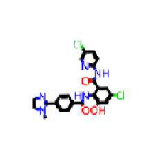 CN1CCN=C1c1ccc(C(=O)Nc2c(O)cc(Cl)cc2C(=O)Nc2ccc(Cl)cn2)cc1